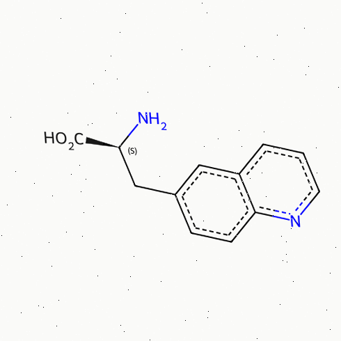 N[C@@H](Cc1ccc2ncccc2c1)C(=O)O